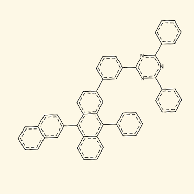 c1ccc(-c2nc(-c3ccccc3)nc(-c3cccc(-c4ccc5c(-c6ccc7ccccc7c6)c6ccccc6c(-c6ccccc6)c5c4)c3)n2)cc1